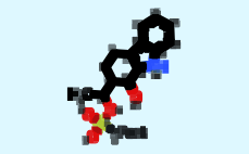 CCCCCS(=O)(=O)OC(C)C1CCc2c([nH]c3ccccc23)C1=O